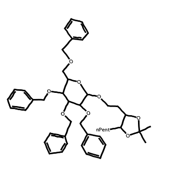 CCCCCC1OC(C)(C)OC1CCOC1OC(COCc2ccccc2)C(OCc2ccccc2)C(OCc2ccccc2)C1OCc1ccccc1